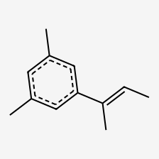 CC=C(C)c1cc(C)cc(C)c1